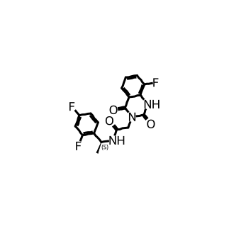 C[C@H](NC(=O)Cn1c(=O)[nH]c2c(F)cccc2c1=O)c1ccc(F)cc1F